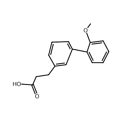 COc1ccccc1-c1cccc(CCC(=O)O)c1